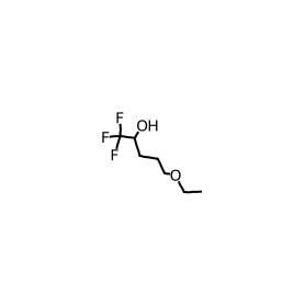 CCOCCCC(O)C(F)(F)F